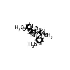 COc1ccnc2c(C(=O)Nc3cnn(C)c3N3CCC[C@H](N)CC3)c(N)sc12